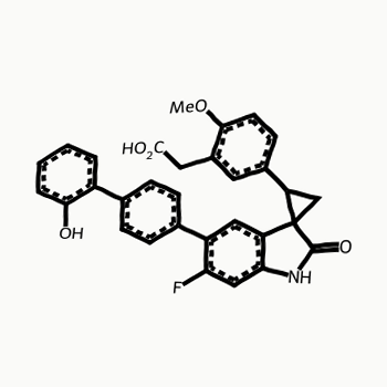 COc1ccc(C2CC23C(=O)Nc2cc(F)c(-c4ccc(-c5ccccc5O)cc4)cc23)cc1CC(=O)O